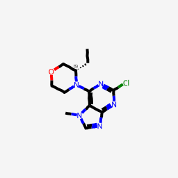 CC[C@H]1COCCN1c1nc(Cl)nc2ncn(C)c12